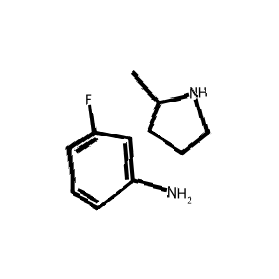 CC1CCCN1.Nc1cccc(F)c1